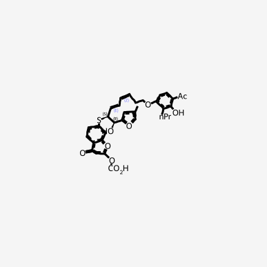 CCCc1c(OCC/C=C\C=C\[C@H](Sc2ccc3c(=O)cc(OC(=O)O)oc3c2)[C@H](O)c2cc(C)co2)ccc(C(C)=O)c1O